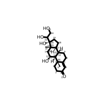 C[C@]12CCC(=O)C=C1CC[C@@H]1[C@@H]2[C@@H](O)C[C@@]2(C)[C@H]1CC[C@]2(O)C(O)CO